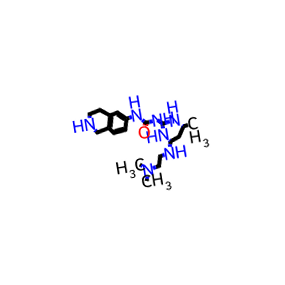 CC1CC(NCCN(C)C)NC(NC(=O)Nc2ccc3c(c2)CCNC3)N1